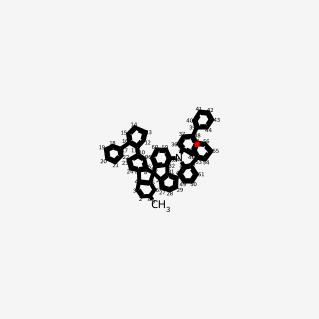 CC1C=CC2=C(C1)C1(c3cc(-c4ccccc4-c4ccccc4)ccc32)c2ccccc2-c2c(N(c3ccc(-c4ccccc4)cc3)c3ccccc3-c3ccccc3)cccc21